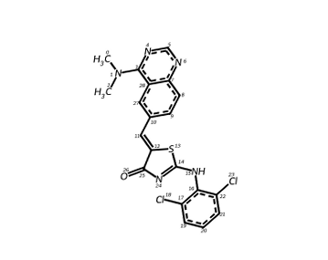 CN(C)c1ncnc2ccc(/C=C3\SC(Nc4c(Cl)cccc4Cl)=NC3=O)cc12